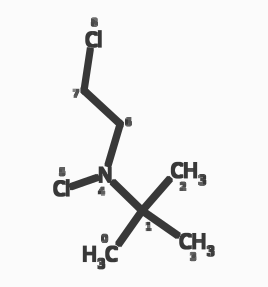 CC(C)(C)N(Cl)CCCl